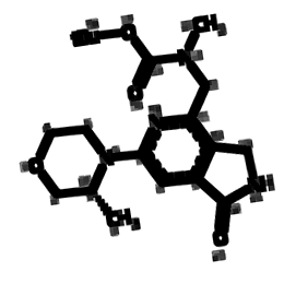 C[C@@H]1COCCN1c1cc2c(c(CN(C)C(=O)OC(C)(C)C)n1)CNC2=O